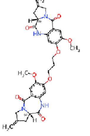 C=C1C[C@H]2C(=O)Nc3cc(OCCCOc4cc5c(cc4OC)C(=O)N4CC(=C)C[C@H]4C(=O)N5)c(OC)cc3C(=O)N2C1